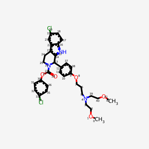 COCCN(CCCOc1ccc(C2c3[nH]c4ccc(Cl)cc4c3CCN2C(=O)Oc2ccc(Cl)cc2)cc1)CCOC